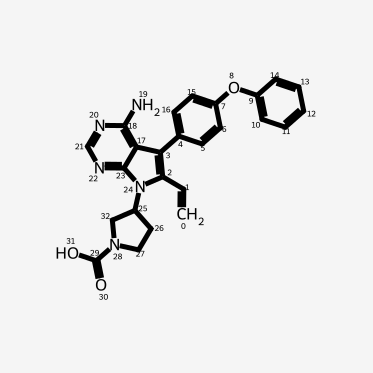 C=Cc1c(-c2ccc(Oc3ccccc3)cc2)c2c(N)ncnc2n1C1CCN(C(=O)O)C1